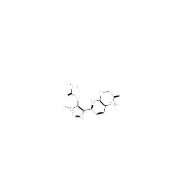 Cn1nnc(-c2ccc3c(n2)OCC(=O)N3)c1OC(N)=O